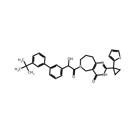 CC(C)(C)c1cccc(-c2cccc(C(O)C(=O)N3CCCc4nc(C5(c6cccs6)CC5)[nH]c(=O)c4C3)c2)c1